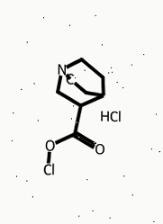 Cl.O=C(OCl)C1CN2CCC1CC2